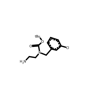 CC(C)(C)OC(=O)N(CCN)Cc1cccc(Cl)c1